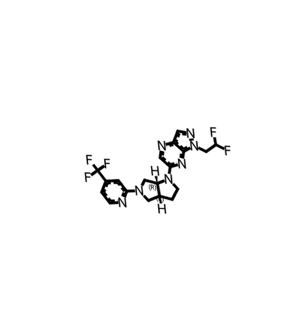 FC(F)Cn1ncc2ncc(N3CC[C@@H]4CN(c5cc(C(F)(F)F)ccn5)C[C@@H]43)nc21